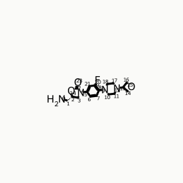 NC[C@H]1CN(c2ccc(N3CCN(C4COC4)CC3)c(F)c2)C(=O)O1